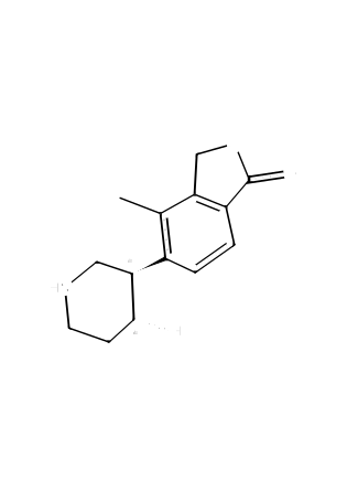 Cc1c([C@@H]2CNCC[C@H]2O)ccc2c1COC2=O